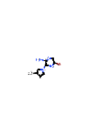 Nc1ncc(Br)nc1-n1ccc([N+](=O)[O-])c1